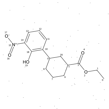 CCOC(=O)C1CCCC(c2cccc([N+](=O)[O-])c2O)C1